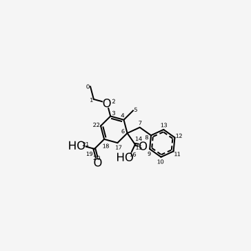 CCOC1=C(C)C(Cc2ccccc2)(C(=O)O)CC(C(=O)O)=C1